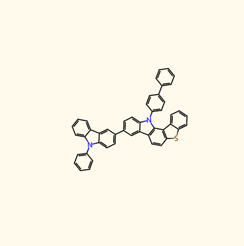 c1ccc(-c2ccc(-n3c4ccc(-c5ccc6c(c5)c5ccccc5n6-c5ccccc5)cc4c4ccc5sc6ccccc6c5c43)cc2)cc1